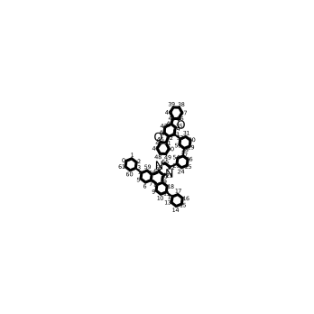 c1ccc(-c2ccc3c4ccc(-c5ccccc5)cc4c4nc(-c5cccc(-c6cccc(-c7c8oc9ccccc9c8cc8oc9ccccc9c78)c6)c5)cnc4c3c2)cc1